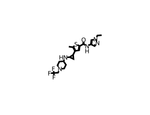 CCn1cc(NC(=O)c2cc(C3CC3NC3CCN(CC(F)(F)F)CC3)c(C)s2)cn1